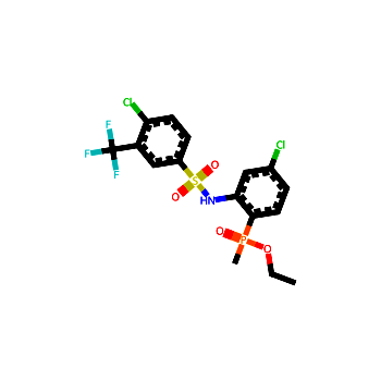 CCOP(C)(=O)c1ccc(Cl)cc1NS(=O)(=O)c1ccc(Cl)c(C(F)(F)F)c1